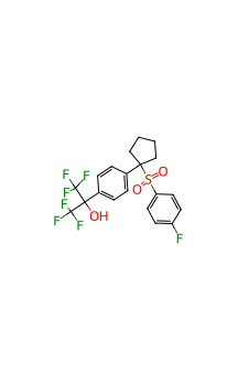 O=S(=O)(c1ccc(F)cc1)C1(c2ccc(C(O)(C(F)(F)F)C(F)(F)F)cc2)CCCC1